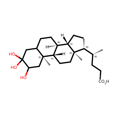 C[C@H](CCC(=O)O)[C@H]1CC[C@H]2[C@@H]3CCC4CC(O)(O)C(O)C[C@]4(C)[C@H]3CC[C@]12C